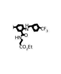 CCOC(=O)CCNC(=O)c1cc(I)ccc1NCc1ccc(C(F)(F)F)cc1